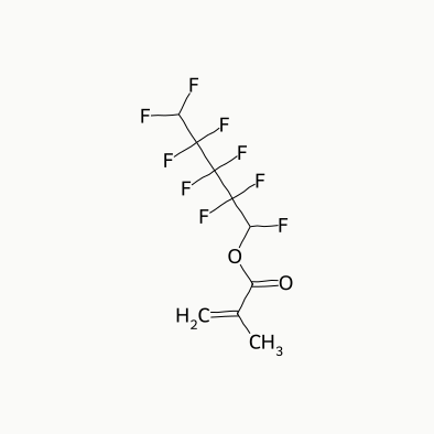 C=C(C)C(=O)OC(F)C(F)(F)C(F)(F)C(F)(F)C(F)F